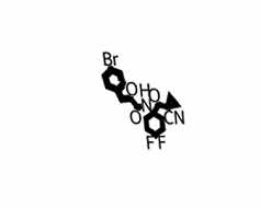 N#CC1(C(=O)C2(NC(=O)c3cc4ccc(Br)cc4o3)CCC(F)(F)CC2)CC1